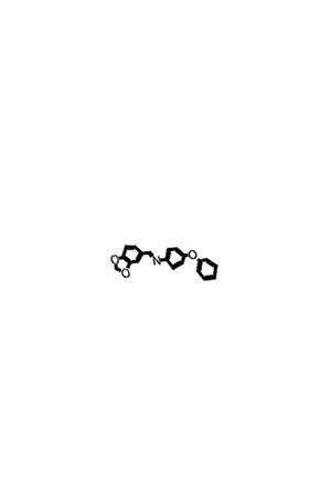 C(=Nc1ccc(Oc2ccccc2)cc1)c1ccc2c(c1)OCO2